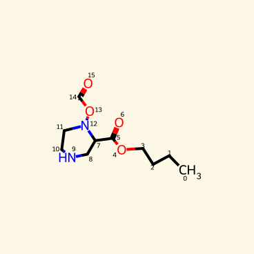 CCCCOC(=O)C1CNCCN1O[C]=O